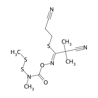 CSSN(C)C(=O)ON=C(SCCC#N)C(C)(C)C#N